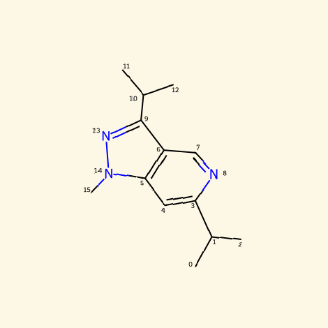 CC(C)c1cc2c(cn1)c(C(C)C)nn2C